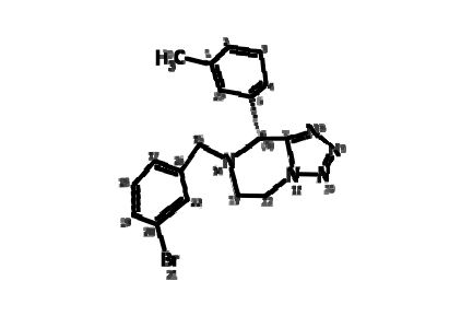 Cc1cccc([C@@H]2c3nnnn3CCN2Cc2cccc(Br)c2)c1